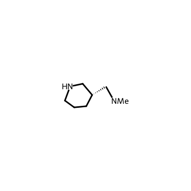 [CH2-][NH2+]C[C@@H]1CCCNC1